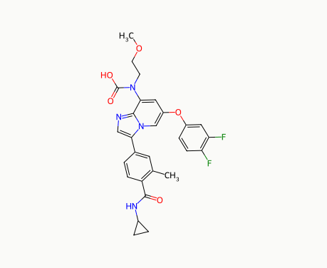 COCCN(C(=O)O)c1cc(Oc2ccc(F)c(F)c2)cn2c(-c3ccc(C(=O)NC4CC4)c(C)c3)cnc12